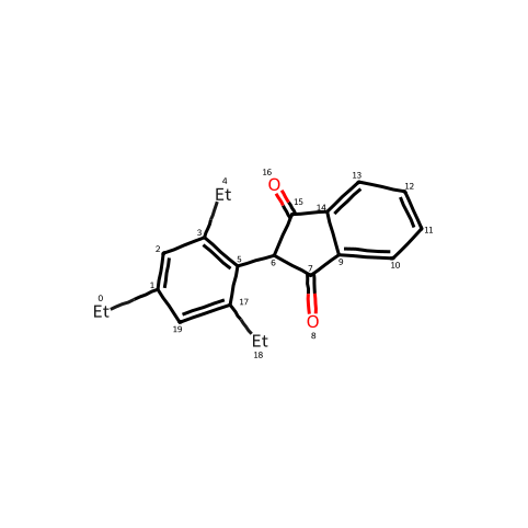 CCc1cc(CC)c(C2C(=O)c3ccccc3C2=O)c(CC)c1